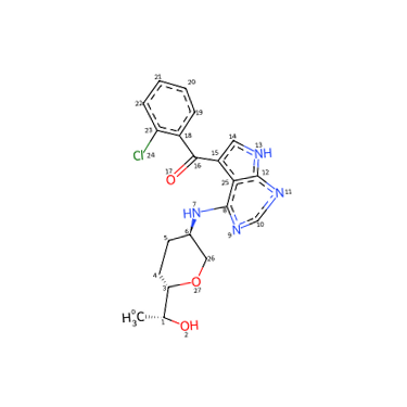 C[C@@H](O)[C@@H]1CC[C@@H](Nc2ncnc3[nH]cc(C(=O)c4ccccc4Cl)c23)CO1